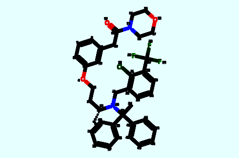 C[C@H](CCOc1cccc(CC(=O)N2CCOCC2)c1)N(Cc1cccc(C(F)(F)F)c1Cl)C(C)(c1ccccc1)c1ccccc1